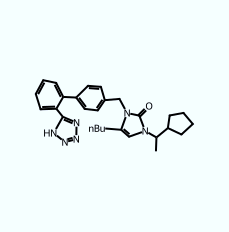 CCCCc1cn(C(C)C2CCCC2)c(=O)n1Cc1ccc(-c2ccccc2-c2nnn[nH]2)cc1